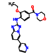 CCOc1cc(C(=O)N2CCOCC2)ccc1Nc1nc2ccc(-c3cccnc3)cn2n1